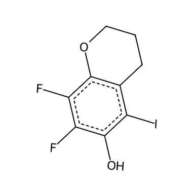 Oc1c(F)c(F)c2c(c1I)CCCO2